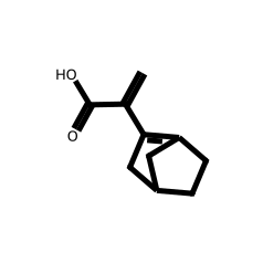 C=C(C(=O)O)C1=C2CCC(C2)C1